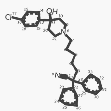 N#CC(CCCCCN1CCC(O)(c2ccc(Cl)cc2)CC1)(c1ccccc1)c1ccccc1